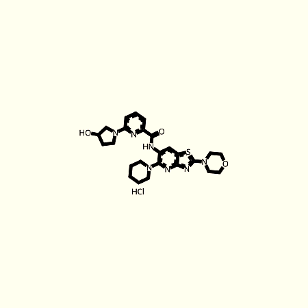 Cl.O=C(Nc1cc2sc(N3CCOCC3)nc2nc1N1CCCCC1)c1cccc(N2CCC(O)C2)n1